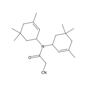 CC1=CC(N(C(=O)CC#N)C2C=C(C)CC(C)(C)C2)CC(C)(C)C1